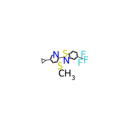 CCSc1cc(C2CC2)cnc1-c1nc2cc(C(F)(F)F)ccc2s1